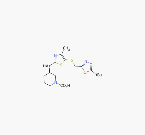 Cc1nc([AsH]C2CCCN(C(=O)O)C2)sc1SCc1ncc(C(C)(C)C)o1